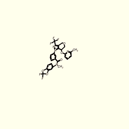 Cc1cccc(OC2COCc3c(C(F)(F)F)nn(-c4cccc(C(=O)N(C)c5ccc6c(c5)OC(F)(F)O6)c4)c32)n1